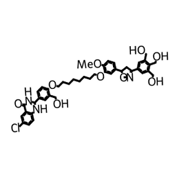 COc1ccc(C2CC(c3cc(CO)c(CO)c(CO)c3)=NO2)cc1OCCCCCCCCOc1ccc(C2NC(=O)c3cc(Cl)ccc3N2)cc1CO